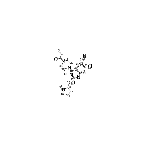 C=CC(=O)N1CCN(c2nc(OCC3CCCN3C)nc3cc(Cl)c(C#N)cc23)C(C)C1